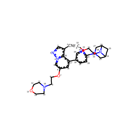 N#Cc1cnn2cc(OCCN3CCOCC3)cc(-c3ccc(N4CC5CC(C4)N5CCOC(F)(F)F)nc3)c12